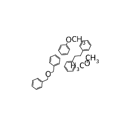 COC.COc1ccccc1.c1ccc(CCc2ccccc2)cc1.c1ccc(COCc2ccccc2)cc1